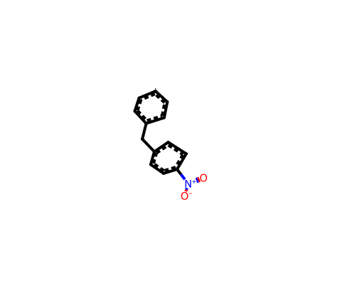 O=[N+]([O-])c1ccc(Cc2cc[c]cc2)cc1